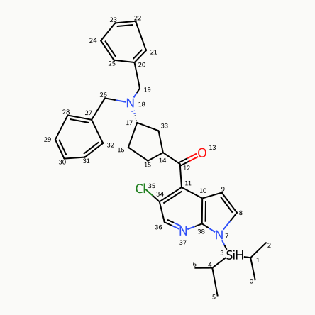 CC(C)[SiH](C(C)C)n1ccc2c(C(=O)C3CC[C@H](N(Cc4ccccc4)Cc4ccccc4)C3)c(Cl)cnc21